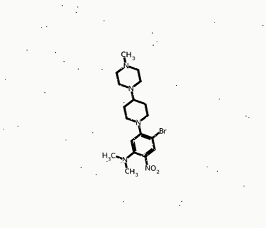 CN1CCN(C2CCN(c3cc(N(C)C)c([N+](=O)[O-])cc3Br)CC2)CC1